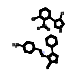 Cc1ccc(/C=N/n2c(-c3ccccc3)csc2=S)cc1.O=[N+]([O-])c1c(Cl)cccc1-c1c[nH]cc1Cl